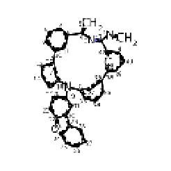 C=N/C1=N\C(=C)c2cccc(c2)-c2cccc(c2)N(c2ccc3oc4ccccc4c3c2)c2cccc(c2)-c2cccc1c2